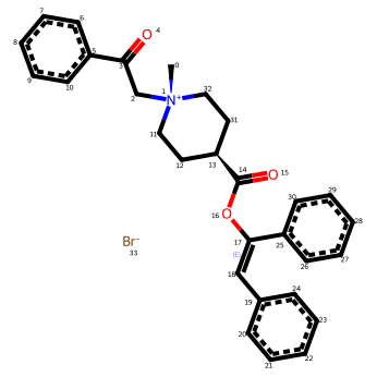 C[N@+]1(CC(=O)c2ccccc2)CC[C@H](C(=O)O/C(=C/c2ccccc2)c2ccccc2)CC1.[Br-]